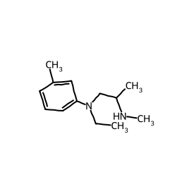 CCN(CC(C)NC)c1cccc(C)c1